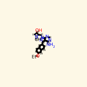 CCOc1ccc2cc(-c3nn(CC4C(O)CN4C)c4ncnc(N)c34)ccc2c1